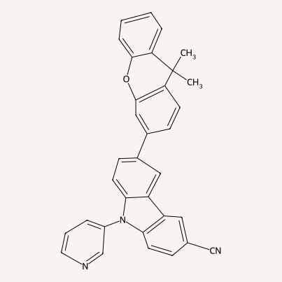 CC1(C)c2ccccc2Oc2cc(-c3ccc4c(c3)c3cc(C#N)ccc3n4-c3cccnc3)ccc21